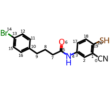 N#Cc1cc(NC(=O)CCCc2ccc(Br)cc2)ccc1S